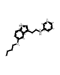 CCCCOc1ccc2[nH]cc(CCNc3cccnc3)c2c1